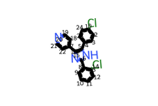 Clc1ccc(-c2[nH]c(-c3ccccc3Cl)nc2-c2ccncc2)cc1